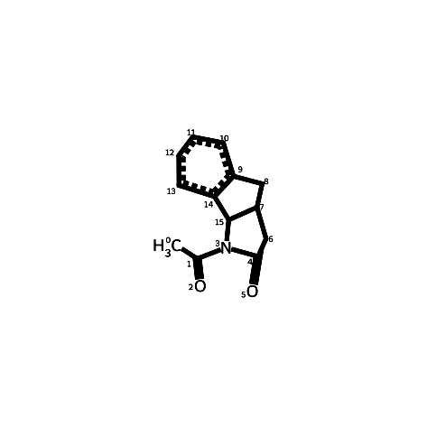 CC(=O)N1C(=O)CC2Cc3ccccc3C21